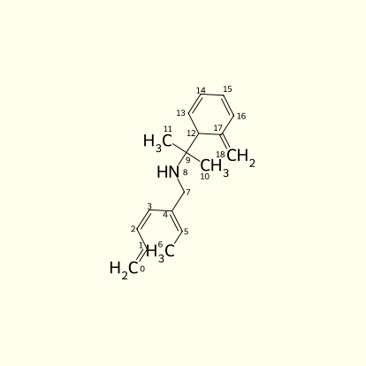 C=C/C=C\C(=C/C)CNC(C)(C)C1C=CC=CC1=C